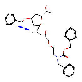 C[SiH](C)[C@]1(OCCOCCN(Cc2ccccc2)C(=O)OCc2ccccc2)O[C@H](C(O)C(C)(C)C)[C@@H](O)[C@H](OCc2ccccc2)[C@H]1N=[N+]=[N-]